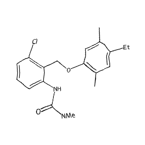 CCc1cc(C)c(OCc2c(Cl)cccc2NC(=O)NC)cc1C